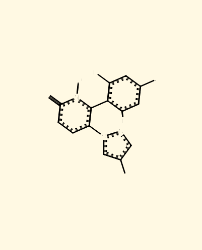 CCn1c(-c2c(F)cc(F)cc2F)c(-n2cc(Cl)cn2)ccc1=O